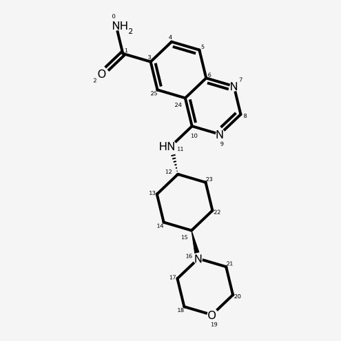 NC(=O)c1ccc2ncnc(N[C@H]3CC[C@H](N4CCOCC4)CC3)c2c1